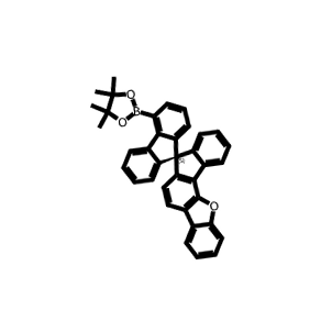 CC1(C)OB(c2cccc3c2-c2ccccc2[C@]32c3ccccc3-c3c2ccc2c3oc3ccccc32)OC1(C)C